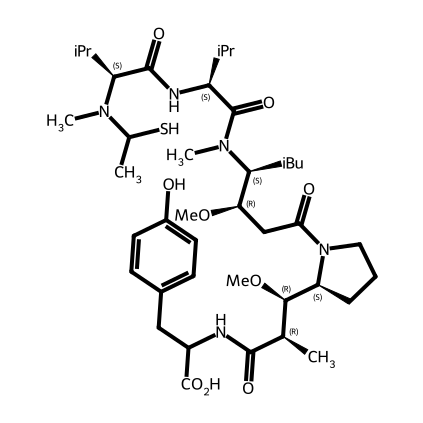 CCC(C)[C@@H]([C@@H](CC(=O)N1CCC[C@H]1[C@H](OC)[C@@H](C)C(=O)NC(Cc1ccc(O)cc1)C(=O)O)OC)N(C)C(=O)[C@@H](NC(=O)[C@H](C(C)C)N(C)C(C)S)C(C)C